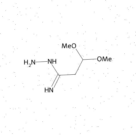 COC(CC(=N)NN)OC